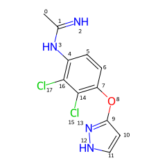 CC(=N)Nc1ccc(Oc2cc[nH]n2)c(Cl)c1Cl